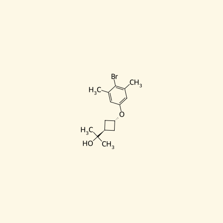 Cc1cc(O[C@H]2C[C@H](C(C)(C)O)C2)cc(C)c1Br